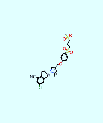 C[C@@H]1C[C@H](COc2ccc(S(=O)(=O)CCCS(C)(=O)=O)cc2)CN1[C@H]1CCc2c(C#N)cc(Cl)cc2C1